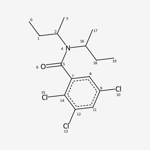 CCC(C)N(C(=O)c1cc(Cl)cc(Cl)c1Cl)C(C)CC